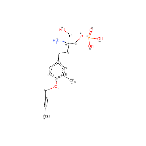 CCCCC#CCOc1ccc(CCC(N)(CO)COP(=O)(O)O)cc1C(F)(F)F